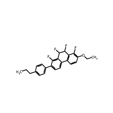 CCCc1ccc(-c2ccc3c(c2F)C(F)C(F)c2c-3ccc(OCC)c2F)cc1